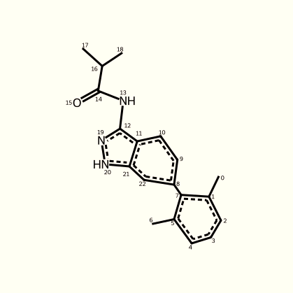 Cc1cccc(C)c1-c1ccc2c(NC(=O)C(C)C)n[nH]c2c1